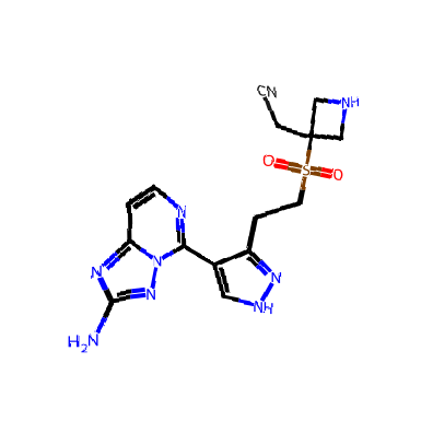 N#CCC1(S(=O)(=O)CCc2n[nH]cc2-c2nccc3nc(N)nn23)CNC1